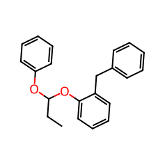 CCC(Oc1ccccc1)Oc1ccccc1Cc1ccccc1